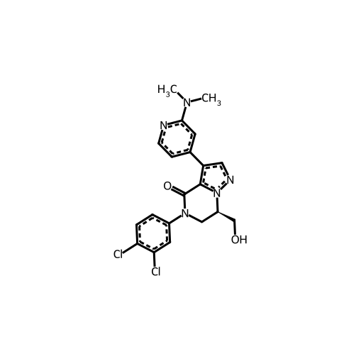 CN(C)c1cc(-c2cnn3c2C(=O)N(c2ccc(Cl)c(Cl)c2)C[C@@H]3CO)ccn1